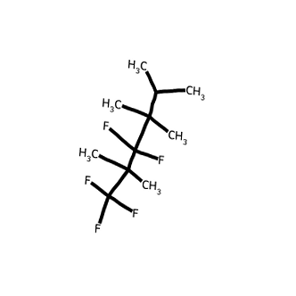 CC(C)C(C)(C)C(F)(F)C(C)(C)C(F)(F)F